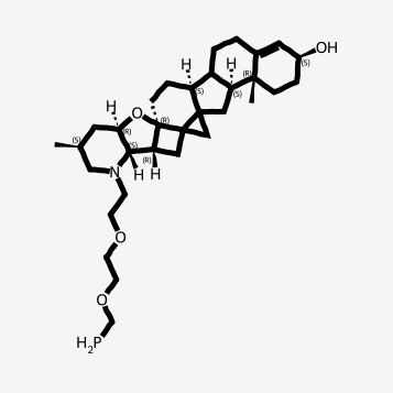 C[C@H]1C[C@H]2O[C@@]34CC[C@H]5C6CCC7=C[C@@H](O)CC[C@]7(C)[C@H]6CC56CC63C[C@@H]4[C@@H]2N(CCOCCOCP)C1